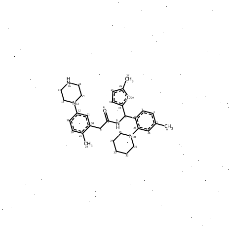 Cc1ccc(C(NC(=O)Cc2cc(N3CCNCC3)ccc2C)c2ccc(C)o2)c(N2CCCCC2)c1